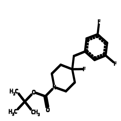 CC(C)(C)OC(=O)N1CCC(F)(Cc2cc(F)cc(F)c2)CC1